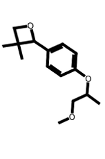 COCC(C)Oc1ccc(C2OCC2(C)C)cc1